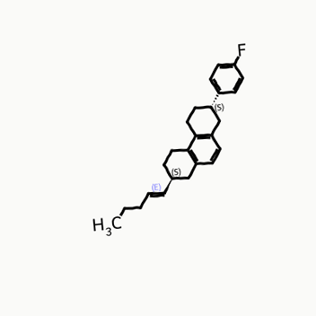 CCC/C=C/[C@H]1CCc2c(ccc3c2CC[C@H](c2ccc(F)cc2)C3)C1